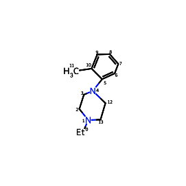 CCN1CCN(c2ccccc2C)CC1